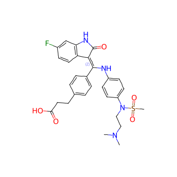 CN(C)CCN(c1ccc(N/C(=C2\C(=O)Nc3cc(F)ccc32)c2ccc(CCC(=O)O)cc2)cc1)S(C)(=O)=O